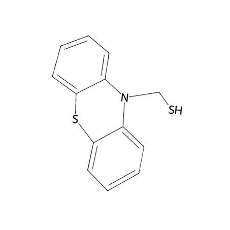 SCN1c2ccccc2Sc2ccccc21